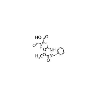 COC(=O)[C@H](Cc1ccccc1)NC(=O)C[C@H](NC=O)C(=O)O